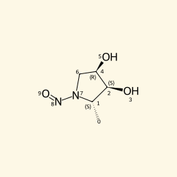 C[C@H]1[C@H](O)[C@H](O)CN1N=O